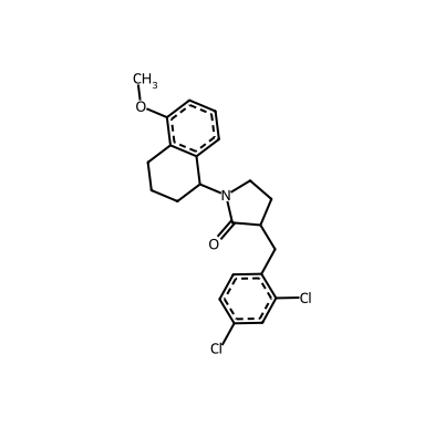 COc1cccc2c1CCCC2N1CCC(Cc2ccc(Cl)cc2Cl)C1=O